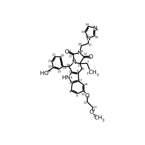 CCC12Cc3c([nH]c4ccc(OCCOC)cc34)C(c3cccc(O)c3)N1C(=O)N(CCn1ccnc1)C2=O